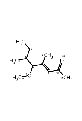 CCC(C)C(OC)/C(C)=C/C(C)=O